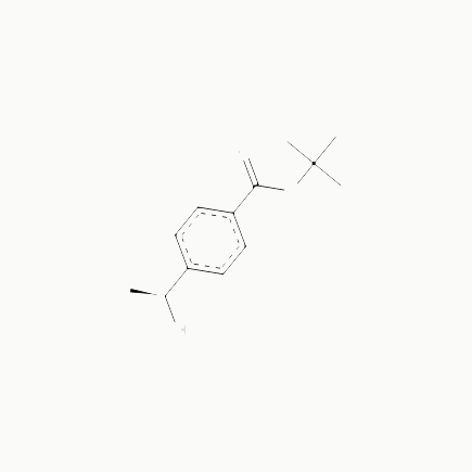 C[C@H](O)c1ccc(C(=O)OC(C)(C)C)cc1